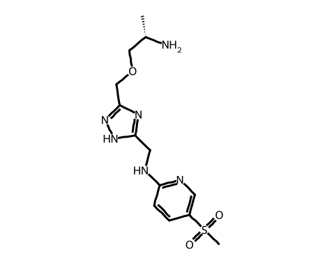 C[C@H](N)COCc1n[nH]c(CNc2ccc(S(C)(=O)=O)cn2)n1